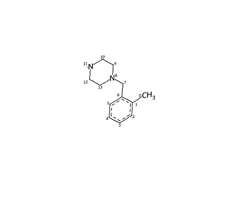 Cc1ccccc1CN1CC[N]CC1